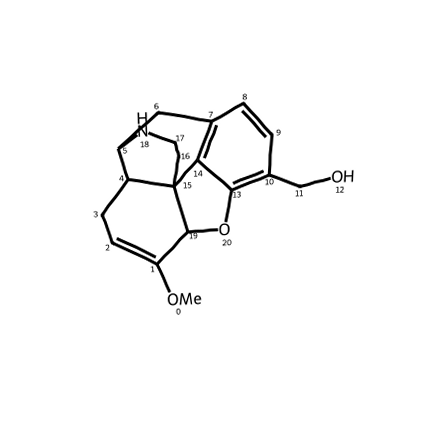 COC1=CCC2C3Cc4ccc(CO)c5c4C2(CCN3)C1O5